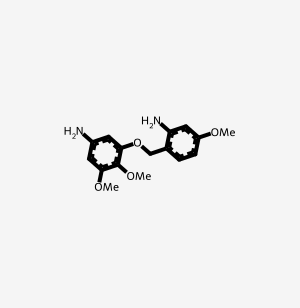 COc1ccc(COc2cc(N)cc(OC)c2OC)c(N)c1